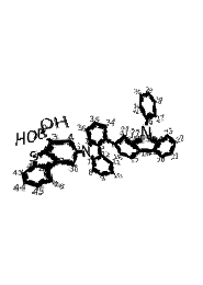 OB(O)c1cc(-n2c3ccccc3c3c(-c4ccc5c6ccccc6n(-c6ccccc6)c5c4)cccc32)cc2c1sc1ccccc12